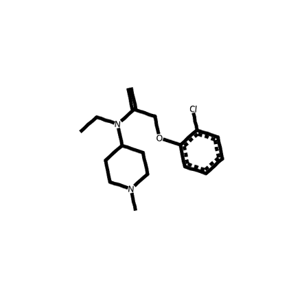 C=C(COc1ccccc1Cl)N(CC)C1CCN(C)CC1